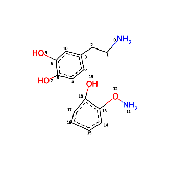 NCCc1ccc(O)c(O)c1.NOc1ccccc1O